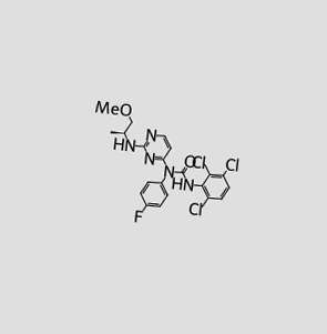 COC[C@H](C)Nc1nccc(N(C(=O)Nc2c(Cl)ccc(Cl)c2Cl)c2ccc(F)cc2)n1